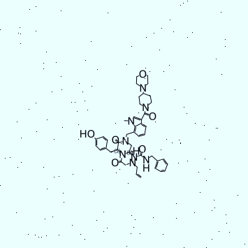 C=CCN1CC(=O)N2[C@@H](Cc3ccc(O)cc3)C(=O)N(Cc3cccc4c(C(=O)N5CCC(N6CCOCC6)CC5)cn(C)c34)C[C@@H]2N1C(=O)NCc1ccccc1